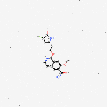 CC(C)Oc1cc2c(OCC[C@@H]3CC(F)C(=O)N3)nccc2cc1C(N)=O